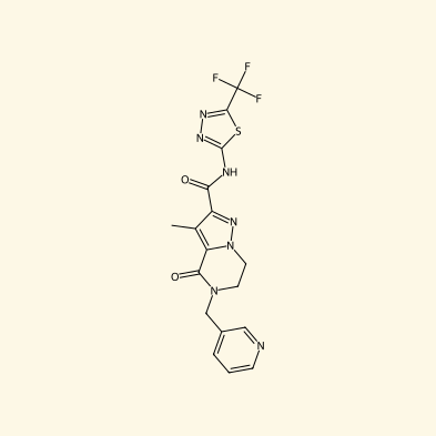 Cc1c(C(=O)Nc2nnc(C(F)(F)F)s2)nn2c1C(=O)N(Cc1cccnc1)CC2